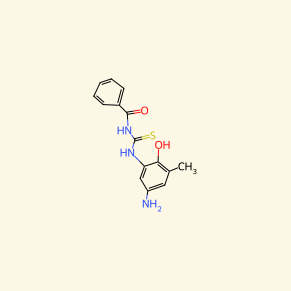 Cc1cc(N)cc(NC(=S)NC(=O)c2ccccc2)c1O